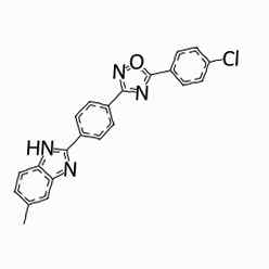 Cc1ccc2[nH]c(-c3ccc(-c4noc(-c5ccc(Cl)cc5)n4)cc3)nc2c1